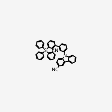 N#Cc1ccc2c(c1)c1ccccc1n2-c1cccc(-c2cccc([Si](c3ccccc3)(c3ccccc3)c3ccccc3)c2C#N)c1